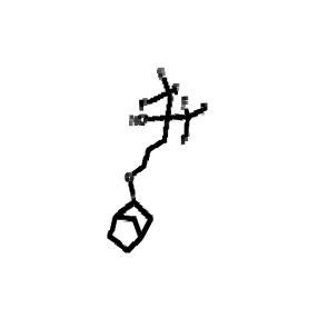 OC(CCCOC1CC2CCC1C2)(C(F)(F)F)C(F)(F)F